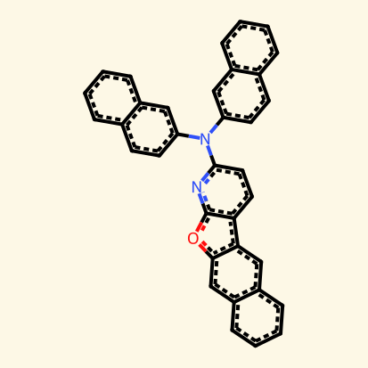 c1ccc2cc(N(c3ccc4ccccc4c3)c3ccc4c(n3)oc3cc5ccccc5cc34)ccc2c1